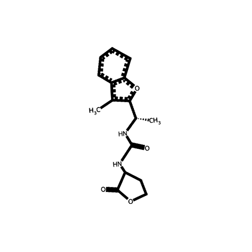 Cc1c([C@H](C)NC(=O)NC2CCOC2=O)oc2ccccc12